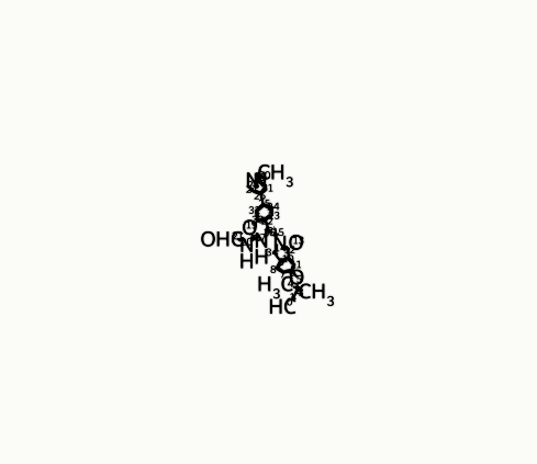 C#CC(C)(C)Oc1ccc2c(c1)C(=O)N(C[C@H](NC(=O)NC=O)c1ccc(-c3cnn(C)c3)cc1)C2